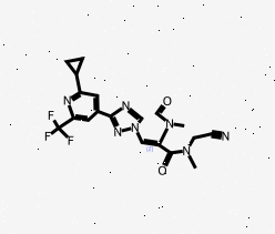 CN(CC#N)C(=O)/C(=C/n1cnc(-c2cc(C3CC3)nc(C(F)(F)F)c2)n1)N(C)C=O